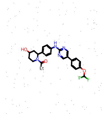 CCC(=O)N1CCC(O)CC1c1ccc(Nc2ncc(-c3ccc(OC(F)F)cc3)cn2)cc1